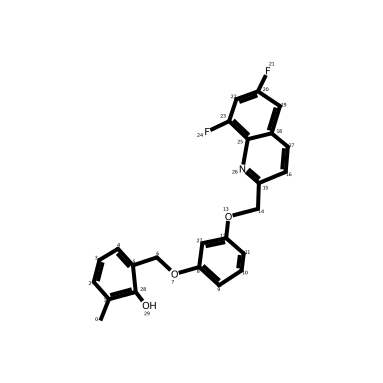 Cc1cccc(COc2cccc(OCc3ccc4cc(F)cc(F)c4n3)c2)c1O